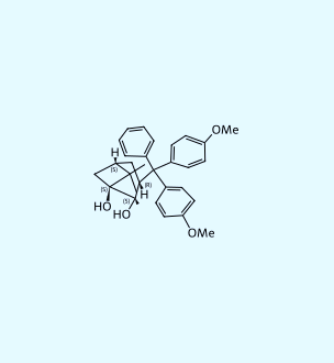 COc1ccc(C(c2ccccc2)(c2ccc(OC)cc2)[C@H]2C[C@H]3C[C@](O)(C3(C)C)[C@@]2(C)O)cc1